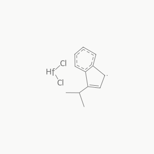 CC(C)C1=C[CH]c2ccccc21.[Cl][Hf][Cl]